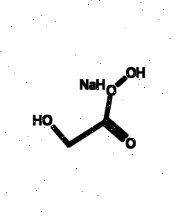 O=C(CO)OO.[NaH]